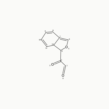 O=CC(=O)C1OC=C2C=CC=CC21